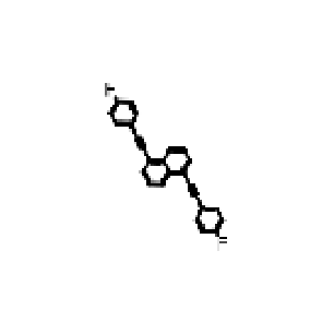 Fc1ccc(C#Cc2cccc3c(C#Cc4ccc(F)cc4)cccc23)cc1